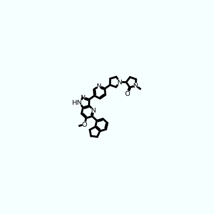 COc1cc2[nH]nc(-c3ccc(C4CCN(C5CCN(C)C5=O)C4)nc3)c2nc1-c1cccc2c1CCC2